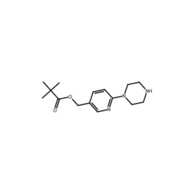 CC(C)(C)C(=O)OCc1ccc(N2CCNCC2)nc1